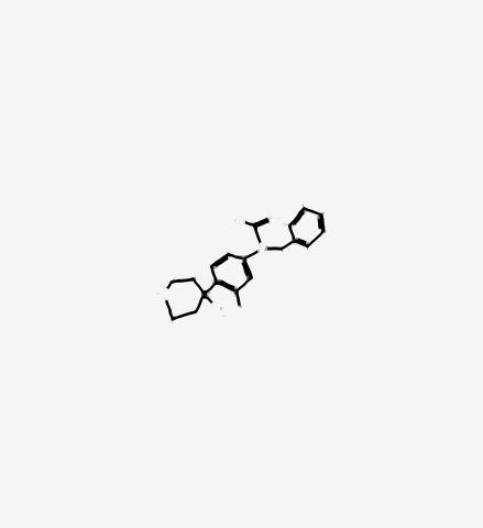 O=C(O)N(Cc1ccccc1)c1ccc(C2(O)CCSCC2)c(F)c1